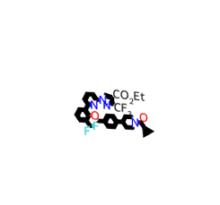 CCOC(=O)c1cn(-c2cccc(-c3cccc(C(F)F)c3OCc3ccc(C4CCN(C(=O)C5CC5)CC4)cc3)n2)nc1C(F)(F)F